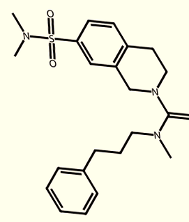 CN(CCCc1ccccc1)C(=O)N1CCc2ccc(S(=O)(=O)N(C)C)cc2C1